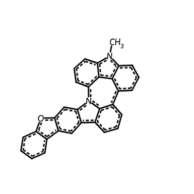 Cn1c2cccc3c4cccc5c6cc7c(cc6n(c6cccc1c6c32)c45)oc1ccccc17